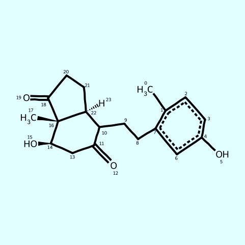 Cc1ccc(O)cc1CCC1C(=O)C[C@@H](O)[C@]2(C)C(=O)CC[C@@H]12